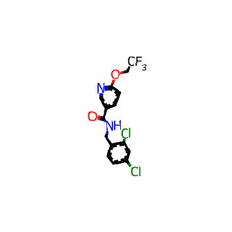 O=C(NCc1ccc(Cl)cc1Cl)c1ccc(OCC(F)(F)F)nc1